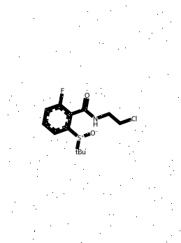 CC(C)(C)[S+]([O-])c1cccc(F)c1C(=O)NCCCl